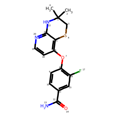 CC1(C)CSc2c(Oc3ccc(C(N)=O)cc3F)ccnc2N1